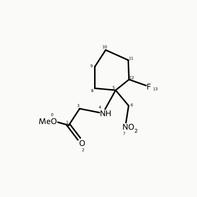 COC(=O)CNC1(C[N+](=O)[O-])CCCCC1F